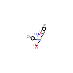 COC(=O)CCCN(CCCN(Cc1ccc(Br)cc1)C(N)=O)CCc1ccc(Cl)cc1